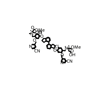 COC(=O)[C@](C)(CO)N(C)Cc1cc(Cl)c(O[C@H]2CCc3c(-c4cccc5c4CC[C@@H]5Oc4cc(OCc5cncc(C#N)c5)c(CN(C)[C@@](C)(CCO)C(=O)OC)cc4Cl)cccc32)cc1OCc1cncc(C#N)c1